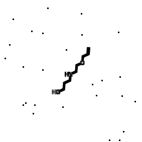 C=CCOCCNCCCO